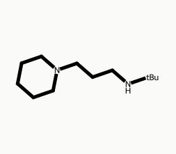 CC(C)(C)NCCCN1CCCCC1